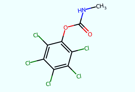 CNC(=O)Oc1c(Cl)c(Cl)c(Cl)c(Cl)c1Cl